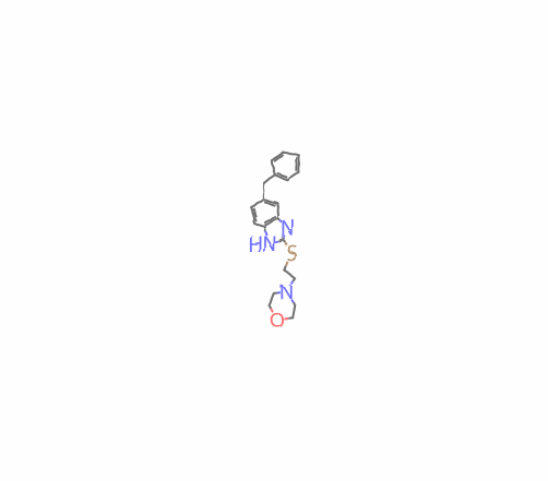 c1ccc(Cc2ccc3[nH]c(SCCN4CCOCC4)nc3c2)cc1